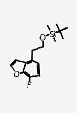 CC(C)(C)[Si](C)(C)OCCc1ccc(F)c2occc12